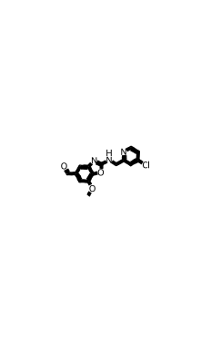 COc1cc(C=O)cc2nc(NCc3cc(Cl)ccn3)oc12